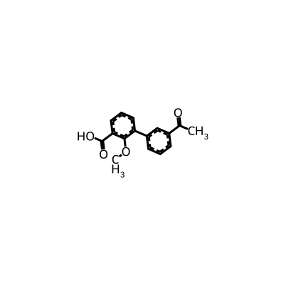 COc1c(C(=O)O)cccc1-c1cccc(C(C)=O)c1